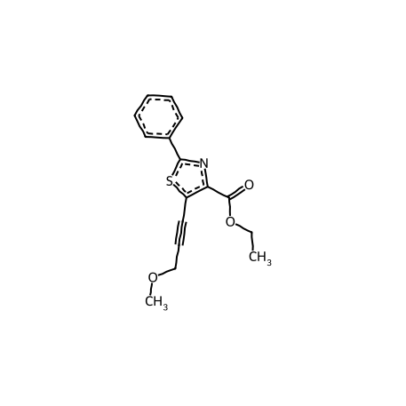 CCOC(=O)c1nc(-c2ccccc2)sc1C#CCOC